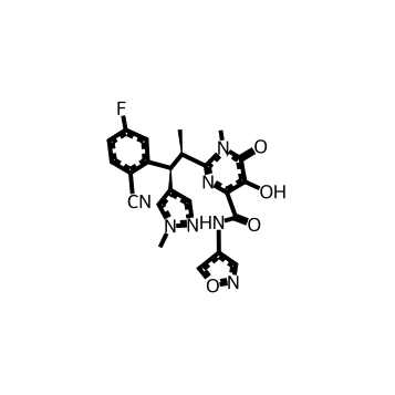 C[C@@H](c1nc(C(=O)Nc2cnoc2)c(O)c(=O)n1C)[C@@H](c1cnn(C)c1)c1cc(F)ccc1C#N